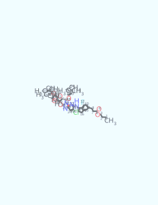 CCCCOC(=O)CCc1cc(F)c2c(c1)CC[C@@H]2Nc1nc2c(cc1Cl)nc(O[C@@H]1CO[C@@H]3C(O[Si](C)(C)C(C)(C)C)CO[C@@H]31)n2COCC[Si](C)(C)C